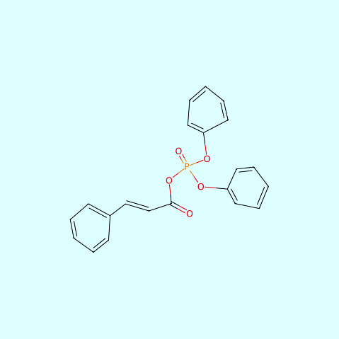 O=C(/C=C/c1ccccc1)OP(=O)(Oc1ccccc1)Oc1ccccc1